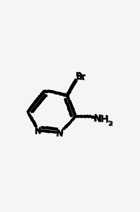 Nc1nnccc1Br